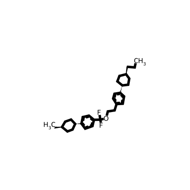 CCC[C@H]1CC[C@H](c2ccc(CCOC(F)(F)c3ccc([C@H]4CC[C@H](CC)CC4)cc3)cc2)CC1